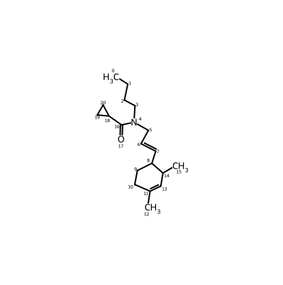 CCCCN(C/C=C/C1CCC(C)=CC1C)C(=O)C1CC1